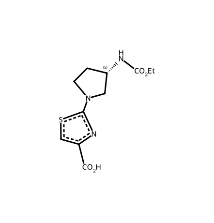 CCOC(=O)N[C@H]1CCN(c2nc(C(=O)O)cs2)C1